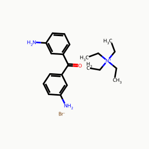 CC[N+](CC)(CC)CC.Nc1cccc(C(=O)c2cccc(N)c2)c1.[Br-]